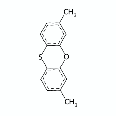 Cc1ccc2c(c1)Oc1cc(C)ccc1S2